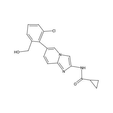 O=C(Nc1cn2cc(-c3c(Cl)cccc3CO)ccc2n1)C1CC1